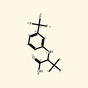 CC(C)(C)C(Nc1cccc(C(F)(F)F)c1)C(=O)O